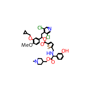 COc1ccc(C(Cc2c(Cl)cncc2Cl)OC(=O)c2ccc(CNC(C(=O)OCC3CCN(C)CC3)c3cccc(O)c3)s2)cc1OCC1CC1